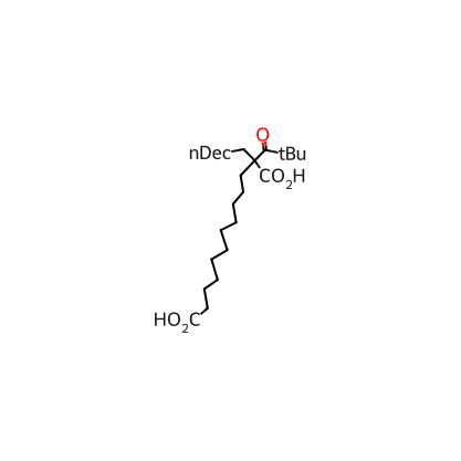 CCCCCCCCCCCC(CCCCCCCCCCC(=O)O)(C(=O)O)C(=O)C(C)(C)C